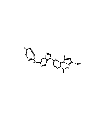 Cc1ccc(Nc2ccc3c(-c4ccc(C(C)O)c(-n5nc(C#N)cc5C)n4)cnn3c2)nn1